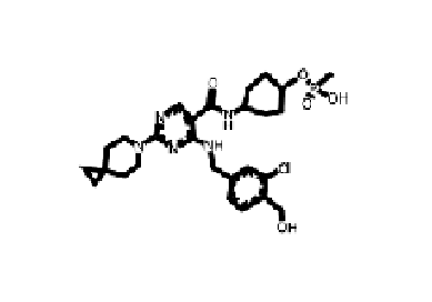 CP(=O)(O)OC1CCC(NC(=O)c2cnc(N3CCC4(CC3)CC4)nc2NCc2ccc(CO)c(Cl)c2)CC1